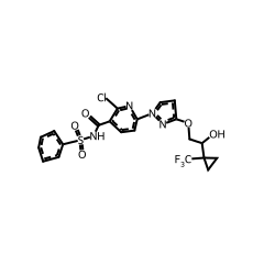 O=C(NS(=O)(=O)c1ccccc1)c1ccc(-n2ccc(OCC(O)C3(C(F)(F)F)CC3)n2)nc1Cl